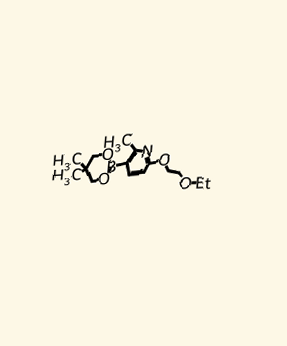 CCOCCOc1ccc(B2OCC(C)(C)CO2)c(C)n1